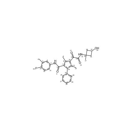 Cc1cc(NC(=O)c2c(C)c(C(=O)C(=O)NC3(C)CC(O)C3)n(C)c2-c2ccccn2)ccc1F